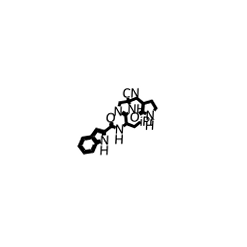 CC(C)CC(NC(=O)c1cc2ccccc2[nH]1)C1=NCC(C#N)(CC2CCNC2=O)N1